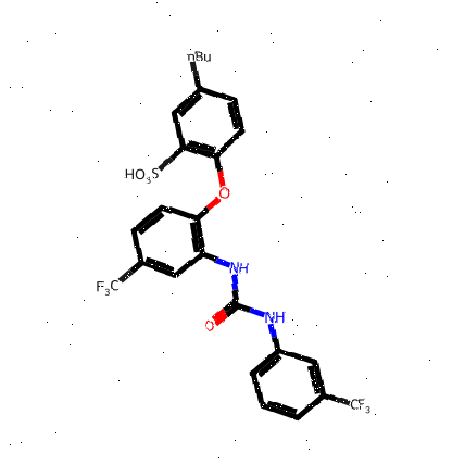 CCCCc1ccc(Oc2ccc(C(F)(F)F)cc2NC(=O)Nc2cccc(C(F)(F)F)c2)c(S(=O)(=O)O)c1